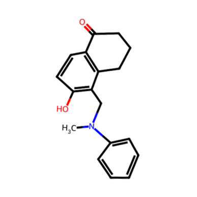 CN(Cc1c(O)ccc2c1CCCC2=O)c1ccccc1